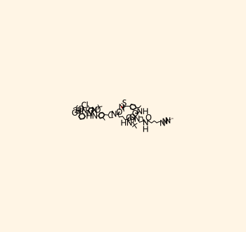 Cc1cc(Nc2ncc(Cl)c(Nc3ccccc3S(=O)(=O)C(C)C)n2)c(OC(C)C)cc1C1CCN(C(=O)CCCC(=O)NC(C(=O)N2C[C@H](NC(=O)CCCCN=[N+]=[N-])C[C@H]2C(=O)NC(C)c2ccc(-c3scnc3C)cc2)C(C)(C)C)CC1